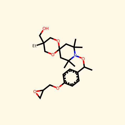 CCC1(CO)COC2(CC(C)(C)N(OC(C)c3ccc(OCC4CO4)cc3)C(C)(C)C2)OC1